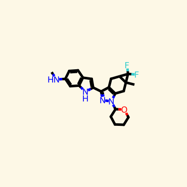 CNc1ccc2cc(-c3nn(C4CCCCO4)c4c3CC3C(F)(F)C3(C)C4)[nH]c2c1